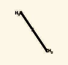 CCCCCCCCCCCCCCCCCCCCCCCCCCC[CH]SCCCCCCCCCCCCCCCCCCCCCCC